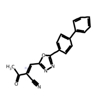 CC(=O)/C(C#N)=C/c1nnc(-c2ccc(-c3ccccc3)cc2)o1